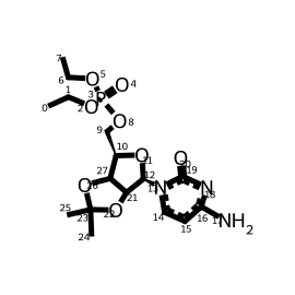 CCOP(=O)(OCC)OC[C@H]1O[C@@H](n2ccc(N)nc2=O)C2OC(C)(C)OC21